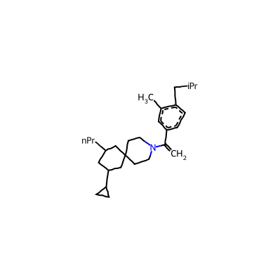 C=C(c1ccc(CC(C)C)c(C)c1)N1CCC2(CC1)CC(CCC)CC(C1CC1)C2